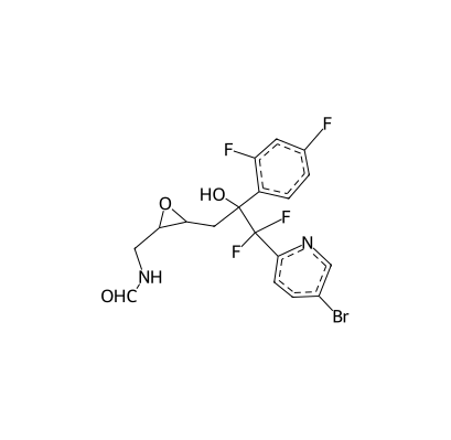 O=CNCC1OC1CC(O)(c1ccc(F)cc1F)C(F)(F)c1ccc(Br)cn1